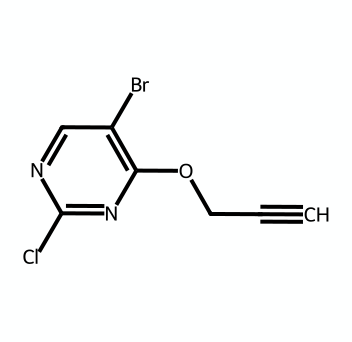 C#CCOc1nc(Cl)ncc1Br